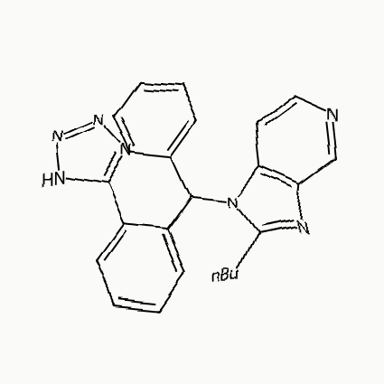 CCCCc1nc2cnccc2n1C(c1ccccc1)c1ccccc1-c1nnn[nH]1